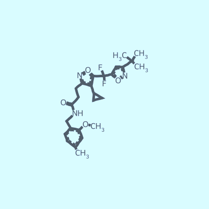 COc1cc(C)ccc1CNC(=O)CCc1noc(C(F)(F)c2cc(C(C)(C)C)no2)c1C1CC1